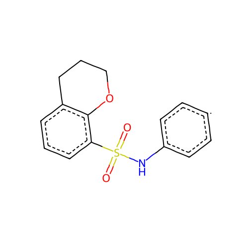 O=S(=O)(Nc1cc[c]cc1)c1cccc2c1OCCC2